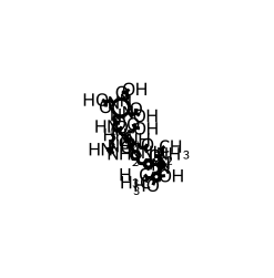 CCNC(=O)c1nnc(-c2cc(C(C)C)c(O)cc2O)n1-c1ccc(CC2CCN(C(=O)[C@H](CCC(N)=O)NC(=O)[C@H](CCC(=O)O)NC(=O)[C@H](CCCNC(=N)N)NC(=O)CN3CCN(CC(=O)O)CCN(CC(=O)O)CCN(CC(=O)O)CC3)CC2)cc1